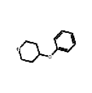 c1ccc(OC2CC[N]CC2)cc1